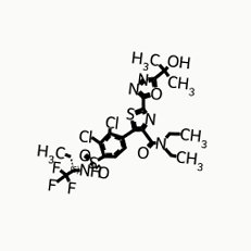 CC[C@H](NS(=O)(=O)c1ccc(-c2sc(-c3nnc(C(C)(C)O)o3)nc2C(=O)N(CC)CC)c(Cl)c1Cl)C(F)(F)F